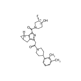 Cc1cccc(C2CCN(C(=O)Cn3nc(C(=O)N4CC[C@H](O)[C@H](F)C4)c4c3CC3C[C@H]43)CC2)c1C